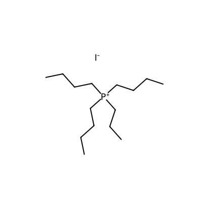 CCCC[P+](CCC)(CCCC)CCCC.[I-]